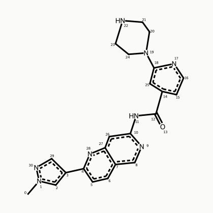 Cn1cc(-c2ccc3cnc(NC(=O)c4ccnc(N5CCNCC5)c4)cc3n2)cn1